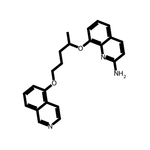 CC(CCCOc1cccc2cnccc12)Oc1cccc2ccc(N)nc12